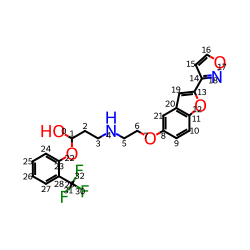 OC(CCNCCOc1ccc2oc(-c3ccon3)cc2c1)Oc1ccccc1C(F)(F)F